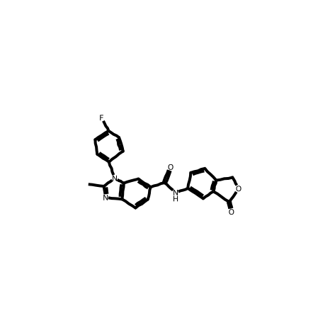 Cc1nc2ccc(C(=O)Nc3ccc4c(c3)C(=O)OC4)cc2n1-c1ccc(F)cc1